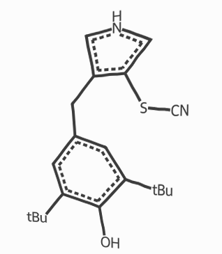 CC(C)(C)c1cc(Cc2c[nH]cc2SC#N)cc(C(C)(C)C)c1O